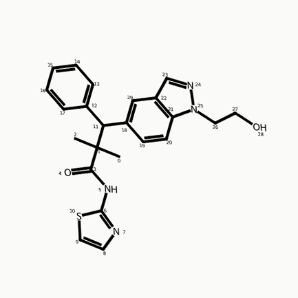 CC(C)(C(=O)Nc1nccs1)C(c1ccccc1)c1ccc2c(cnn2CCO)c1